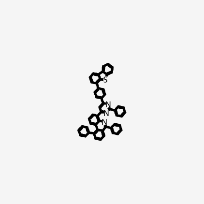 c1ccc(-c2nc(-c3ccc(-c4cccc5c4sc4ccccc45)cc3)cc(-c3cccc4c3nc(-c3ccccc3)c3cccc(-c5ccccc5)c34)n2)cc1